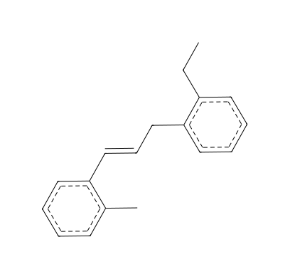 CCc1ccccc1CC=Cc1ccccc1C